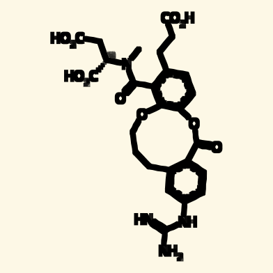 CN(C(=O)c1c(CCC(=O)O)ccc2c1OCCCc1cc(NC(=N)N)ccc1C(=O)O2)[C@@H](CC(=O)O)C(=O)O